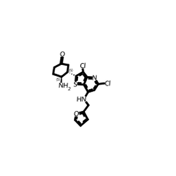 N[C@H]1CCC(=O)C[C@@H]1c1sc2c(NCc3ccco3)cc(Cl)nc2c1Cl